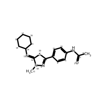 CC(=O)Nc1ccc(-c2nn(C)c(=NC3CCCCC3)s2)cc1